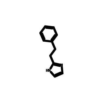 c1ccc(CCc2ncc[nH]2)cc1